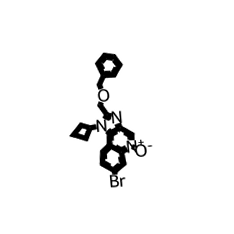 [O-][n+]1cc2nc(COCc3ccccc3)n(C3CCC3)c2c2ccc(Br)cc21